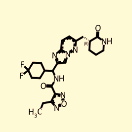 CCc1nonc1C(=O)NC(c1cn2nc(C[C@H]3CCCNC3=O)ccc2n1)C1CCC(F)(F)CC1